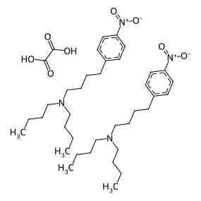 CCCCN(CCCC)CCCCc1ccc([N+](=O)[O-])cc1.CCCCN(CCCC)CCCCc1ccc([N+](=O)[O-])cc1.O=C(O)C(=O)O